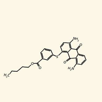 CCCCCOC(=O)c1cccc(Sc2ccc(N)c3c2C(=O)c2c(N)cccc2C3=O)c1